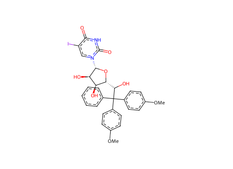 COc1ccc(C(c2ccccc2)(c2ccc(OC)cc2)C(O)[C@H]2O[C@@H](n3cc(I)c(=O)[nH]c3=O)[C@H](O)[C@@H]2O)cc1